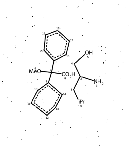 CC(C)CC(N)CO.COC(C(=O)O)(c1ccccc1)c1ccccc1